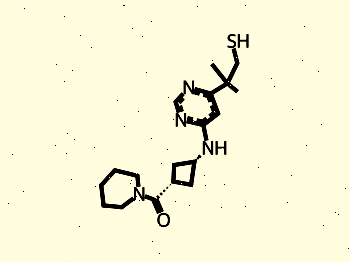 CC(C)(CS)c1cc(N[C@H]2C[C@@H](C(=O)N3CCCCC3)C2)ncn1